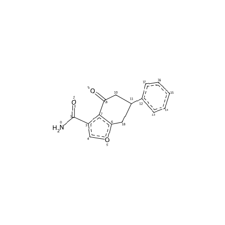 NC(=O)c1coc2c1C(=O)CC(c1ccccc1)C2